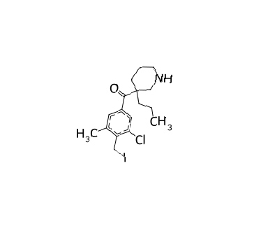 CCCC1(C(=O)c2cc(C)c(CI)c(Cl)c2)CCCNC1